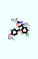 COc1ccc(C(=O)[C@@H]2OC(C)=N[C@@]2(C)c2ccc(Cl)cc2)cc1